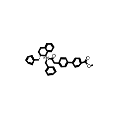 COC(=O)c1ccc(-c2ccc(CC(=O)N(Cc3ccccc3)[C@@H]3c4ccccc4CC[C@H]3Cc3ccccc3)cc2)cc1